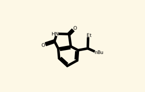 CCCCC(CC)c1cccc2c1C(=O)NC2=O